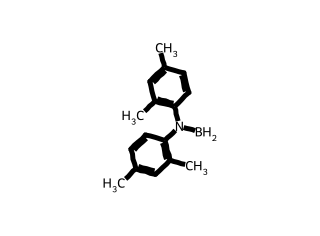 BN(c1ccc(C)cc1C)c1ccc(C)cc1C